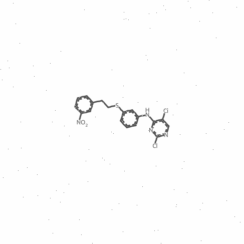 O=[N+]([O-])c1cccc(CCSc2cccc(Nc3nc(Cl)ncc3Cl)c2)c1